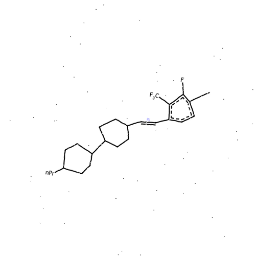 CCCC1CCC(C2CCC(/C=C/c3ccc(C)c(F)c3C(F)(F)F)CC2)CC1